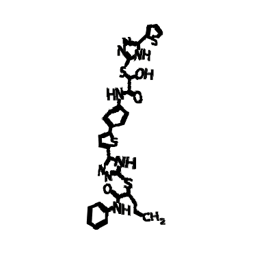 C=CCC(Sc1nnc(-c2ccc(-c3ccc(NC(=O)C(O)Sc4nnc(-c5cccs5)[nH]4)cc3)s2)[nH]1)C(=O)Nc1ccccc1